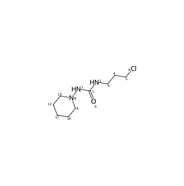 O=C(NCCCCl)NN1CCCCC1